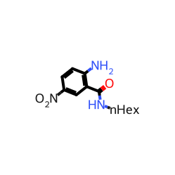 CCCCCCNC(=O)c1cc([N+](=O)[O-])ccc1N